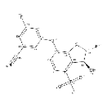 CS(=O)(=O)c1ccc(Oc2cc(F)cc(C#N)c2)c2c1[C@H](O)[C@@H](F)C2